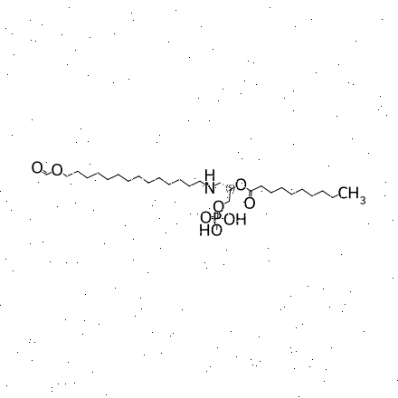 CCCCCCCCCC(=O)O[C@@H](CNCCCCCCCCCCCCCCOC=O)COP(=O)(O)O